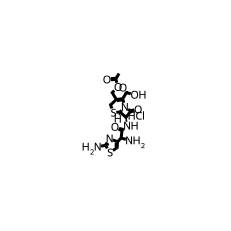 CC(=O)OCC1=C(C(=O)O)N2C(=O)[C@@H](NC(=O)C(N)c3csc(N)n3)[C@H]2SC1.Cl